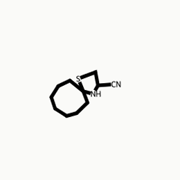 N#CC1CSC2(CCCCCCC2)N1